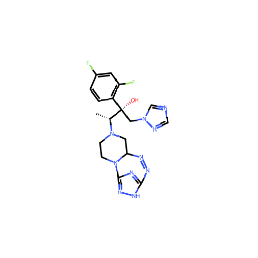 C[C@@H](N1CCN2c3n[nH]c(n3)N=NC2C1)[C@](O)(Cn1cncn1)c1ccc(F)cc1F